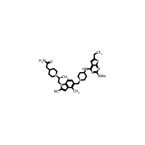 CNc1nc(NC2CCN(Cc3ccc4c(cc(C#N)n4C[C@H](C)N4CCC(CC(N)=O)CC4)c3C)CC2)c2cc(CC(F)(F)F)sc2n1